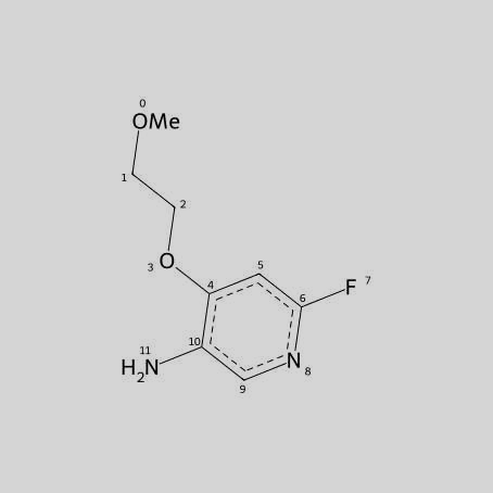 COCCOc1cc(F)ncc1N